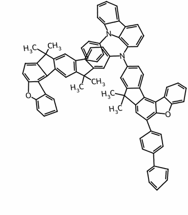 CC1(C)c2cc(N(c3ccc4c(c3)C(C)(C)c3cc(-c5ccc(-c6ccccc6)cc5)c5oc6ccccc6c5c3-4)c3cccc4c5ccccc5n(-c5ccccc5)c34)ccc2-c2cc3c(cc21)-c1c(ccc2oc4ccccc4c12)C3(C)C